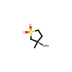 CS[C@]1(C)CCS(=O)(=O)C1